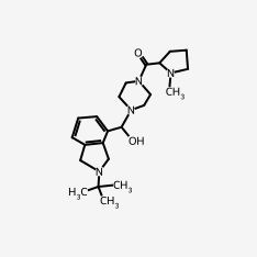 CN1CCCC1C(=O)N1CCN(C(O)c2cccc3c2CN(C(C)(C)C)C3)CC1